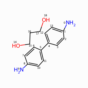 Nc1ccc(-c2ccc(N)cc2)cc1.OCCCO